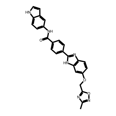 Cc1noc(COc2ccc3nc(-c4ccc(C(=O)Nc5ccc6[nH]ccc6c5)cc4)[nH]c3c2)n1